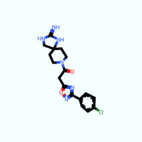 N=C1NCC2(CCN(C(=O)Cc3nc(-c4ccc(Cl)cc4)no3)CC2)N1